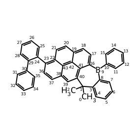 CC1(C)c2ccccc2B(c2ccccc2)c2ccc3ccc4c(-c5ccccc5-c5ccccc5)ccc5cc1c2c3c54